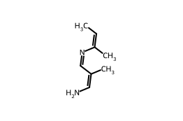 C\C=C(C)/N=C\C(C)=C/N